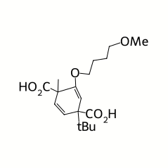 COCCCCOC1=CC(C(=O)O)(C(C)(C)C)C=CC1(C)C(=O)O